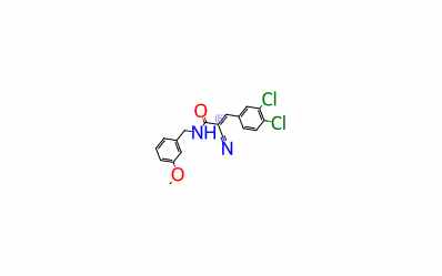 COc1cccc(CNC(=O)/C(C#N)=C/c2ccc(Cl)c(Cl)c2)c1